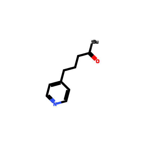 CC(C)(C)C(=O)CCCc1ccncc1